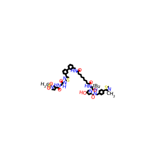 Cc1ncsc1-c1ccc(CNC(=O)[C@@H]2C[C@@H](O)CN2C(=O)[C@@H](NC(=O)CCCCCCCC(=O)NCc2cccc(-c3cccc(-c4csc(NC(=O)CNC(=O)c5ccn(S(C)(=O)=O)c5)n4)c3)c2)C(C)(C)C)cc1